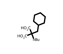 CCCCC(CC1CCCCC1)(C(=O)O)C(=O)O